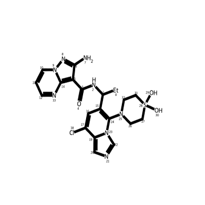 CCC(NC(=O)c1c(N)nn2cccnc12)c1cc(Cl)c2cncn2c1N1CCS(O)(O)CC1